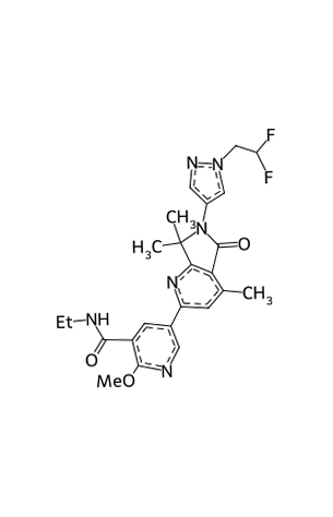 CCNC(=O)c1cc(-c2cc(C)c3c(n2)C(C)(C)N(c2cnn(CC(F)F)c2)C3=O)cnc1OC